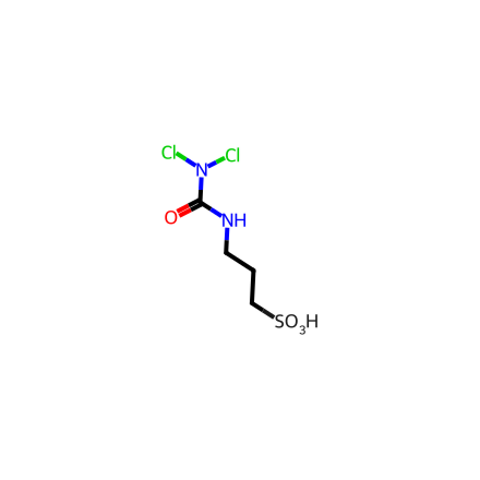 O=C(NCCCS(=O)(=O)O)N(Cl)Cl